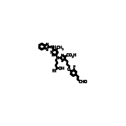 CCC(O)CCCN(c1cc(C)c(Nc2nc3ccccc3s2)nn1)c1nc(C(=O)O)c(CCCOc2ccc(/C=C/C=O)cc2F)s1